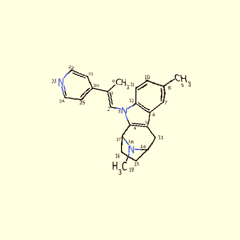 C/C(=C\n1c2c(c3cc(C)ccc31)CC1CCC2N1C)c1ccncc1